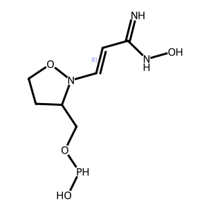 N=C(/C=C/N1OCCC1COPO)NO